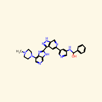 CN1CCN(c2cncc3[nH]c(-c4n[nH]c5cnc(-c6cncc(NC(O)c7ccccc7)c6)cc45)nc23)CC1